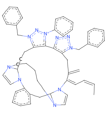 C=C1Cc2c(nnn2Cc2ccccc2)-c2c(n(Cc3ccccc3)n[n+]2-c2ccccc2)CCC2N3C=CN2c2ccccc2CC2N(C=CN2/C1=C/C=C\C)CCCC3